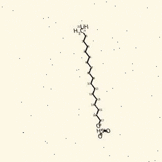 CCCCCCCCCCCCCCCCCCO[SH](=O)=O.[LiH]